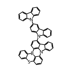 c1ccc2c(c1)Sc1cccc3c1B2c1ccc(-n2c4ccccc4c4cc(-n5c6ccccc6c6ccccc65)ccc42)c2c4ccccc4n-3c12